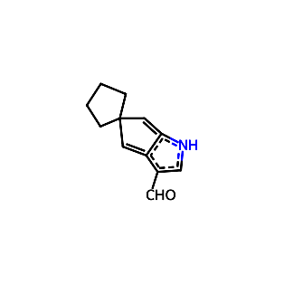 O=Cc1c[nH]c2c1=CC1(C=2)CCCC1